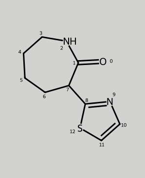 O=C1NCCCCC1c1nccs1